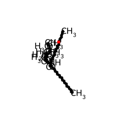 CCCCCCCCCCCCCCCCCCOC(=O)C(COC(=O)C(C)CC(C)(N)OC(C)(C)CCOC(C)(C)C)NC(=O)CCCCCCCCCCCCCCCCC